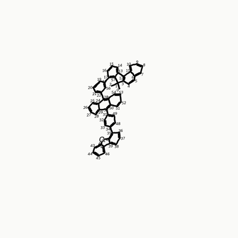 CC1(C)c2ccc3ccccc3c2-c2cccc(-c3cccc(-c4c5ccccc5c(-c5ccc(-c6cccc7c6oc6ccccc67)cc5)c5ccccc45)c3)c21